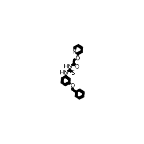 O=C(COc1ccccn1)NC(=S)Nc1cccc(OCc2ccccc2)c1